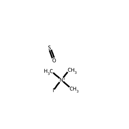 C[N+](C)(C)I.O=S